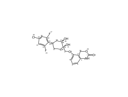 O=C1Nc2cccc(OC[C@]3(O)CCN(c4c(F)cc(Cl)cc4F)C[C@H]3O)c2CO1